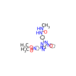 CCNC(=O)Nc1ccc(-c2nc(N3CC4CCC(C3)O4)c3cnn(C4CCN(C(=O)OC(C)C)CC4)c3n2)cc1